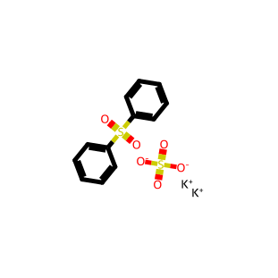 O=S(=O)([O-])[O-].O=S(=O)(c1ccccc1)c1ccccc1.[K+].[K+]